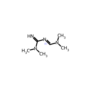 CN(C)/C=N/C(=N)N(C)C